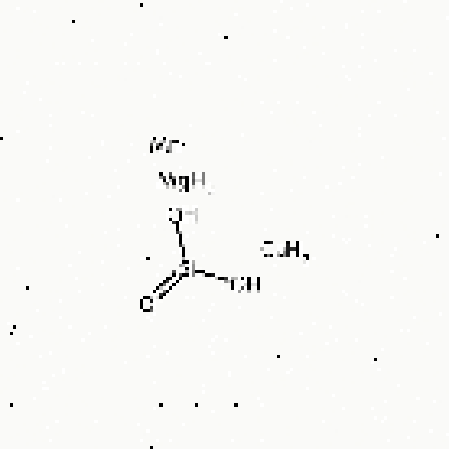 O=[Si](O)O.[CaH2].[MgH2].[Mn]